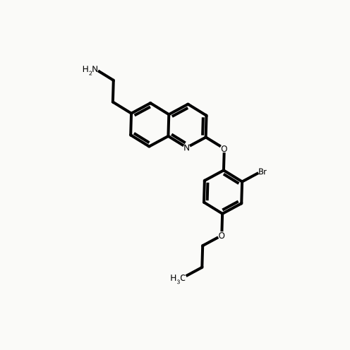 CCCOc1ccc(Oc2ccc3cc(CCN)ccc3n2)c(Br)c1